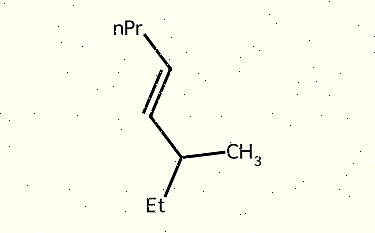 CCCC=CC(C)CC